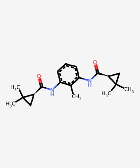 Cc1c(NC(=O)[C@H]2CC2(C)C)cccc1NC(=O)[C@H]1CC1(C)C